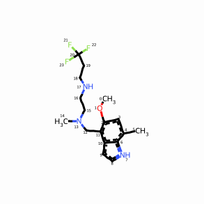 COc1cc(C)c2[nH]ccc2c1CN(C)CCNCCC(F)(F)F